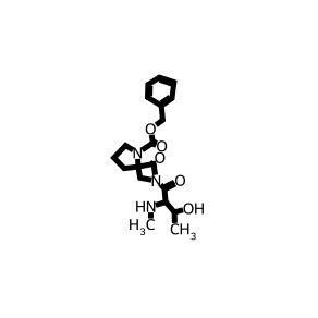 CNC(C(=O)N1CC2(CCCN2C(=O)OCc2ccccc2)C1=O)C(C)O